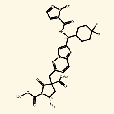 CCn1nccc1C(=O)N[C@H](c1cn2nc(CC3(C(=O)OC)C[C@H](C(F)(F)F)N(C(=O)OC(C)(C)C)C3=O)ccc2n1)C1CCC(F)(F)CC1